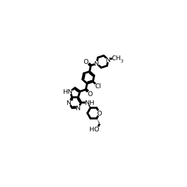 CN1CCN(C(=O)c2ccc(C(=O)c3c[nH]c4ncnc(N[C@@H]5CC[C@@H](CO)OC5)c34)c(Cl)c2)CC1